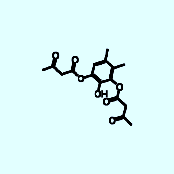 CC(=O)CC(=O)Oc1cc(C)c(C)c(OC(=O)CC(C)=O)c1O